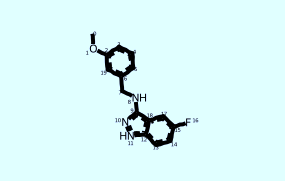 COc1cccc(CNc2n[nH]c3ccc(F)cc23)c1